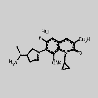 COc1c(N2CCC([C@H](C)N)C2)c(F)cc2cc(C(=O)O)c(=O)n(C3CC3)c12.Cl